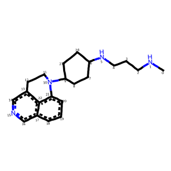 CNCCCNC1CCC(N2CCc3cncc4cccc2c34)CC1